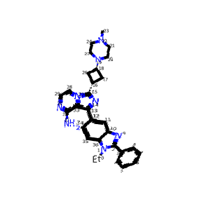 CCN1C(c2ccccc2)=NC2C=C(c3nc([C@H]4C[C@@H](N5CCN(C)CC5)C4)n4ccnc(N)c34)C=CC21